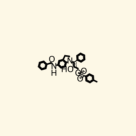 Cc1ccc(S(=O)(=O)OC[C@@H](O)[C@H](c2ccccc2)N2CCc3cc(NC(=O)c4ccccc4)ccc32)cc1